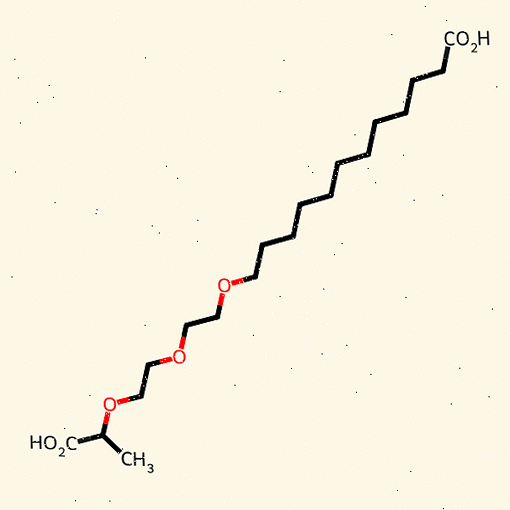 CC(OCCOCCOCCCCCCCCCCCC(=O)O)C(=O)O